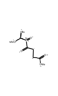 CCCCC(OC)[PH](=O)C(=O)CCC(=O)OC